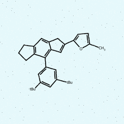 Cc1ccc(C2=Cc3c(cc4c(c3-c3cc(C(C)(C)C)cc(C(C)(C)C)c3)CCC4)C2)o1